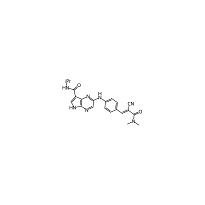 CC(C)NC(=O)c1c[nH]c2ncc(Nc3ccc(/C=C(\C#N)C(=O)N(C)C)cc3)nc12